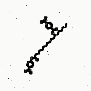 CCCCCC[C@H](CCCCCCCCCCC(=O)Oc1ccc([N+](=O)[O-])cc1)OC(=O)c1ccc([N+](=O)[O-])cc1